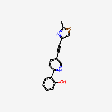 Cc1nc(C#Cc2ccc(-c3ccccc3O)nc2)cs1